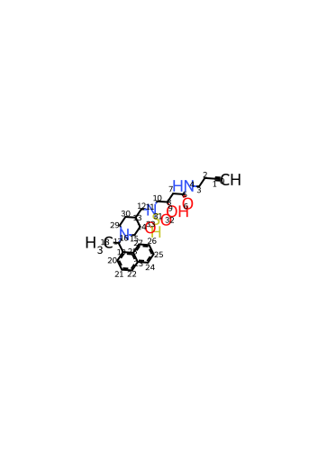 C#CCCNC(=O)CC(O)CN(CC1CCN(C(C)c2cccc3ccccc23)CC1)[SH](=O)=O